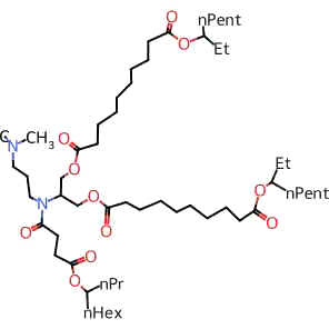 CCCCCCC(CCC)OC(=O)CCC(=O)N(CCCN(C)C)C(COC(=O)CCCCCCCCC(=O)OC(CC)CCCCC)COC(=O)CCCCCCCCC(=O)OC(CC)CCCCC